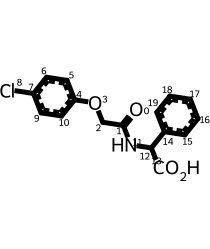 O=C(COc1ccc(Cl)cc1)NC(C(=O)O)c1ccccc1